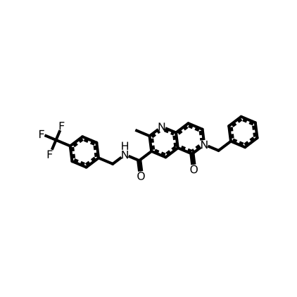 Cc1nc2ccn(Cc3ccccc3)c(=O)c2cc1C(=O)NCc1ccc(C(F)(F)F)cc1